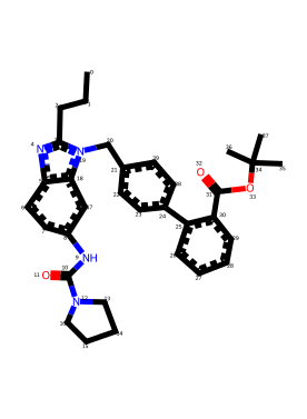 CCCc1nc2ccc(NC(=O)N3CCCC3)cc2n1Cc1ccc(-c2ccccc2C(=O)OC(C)(C)C)cc1